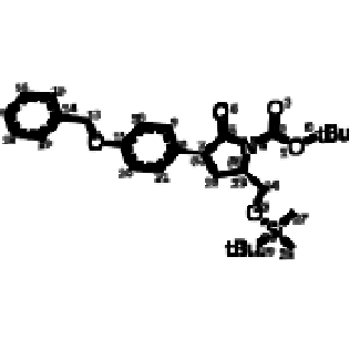 CC(C)(C)OC(=O)N1C(=O)[C@H](c2ccc(OCc3ccccc3)cc2)C[C@@H]1CO[Si](C)(C)C(C)(C)C